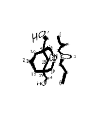 C=CCOCC=C.OCC12CCCC(CO)(COC1)C2O